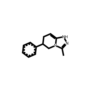 CC1=NNC2=CCC(c3ccccc3)CN21